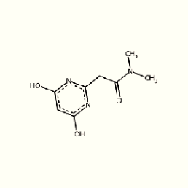 CN(C)C(=O)Cc1nc(O)cc(O)n1